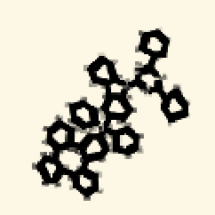 c1ccc(-c2nc(-c3ccccc3)nc(-n3c4ccccc4c4cc([Si](c5ccccc5)(c5ccccc5)c5ccc6c(c5)-c5ccccc5-c5ccccc5-c5ccccc5-6)ccc43)n2)cc1